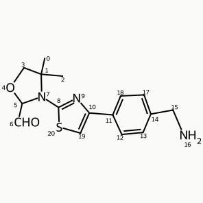 CC1(C)COC(C=O)N1c1nc(-c2ccc(CN)cc2)cs1